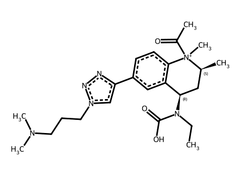 CCN(C(=O)O)[C@@H]1C[C@H](C)[N+](C)(C(C)=O)c2ccc(-c3cn(CCCN(C)C)nn3)cc21